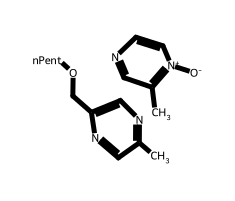 CCCCCOCc1cnc(C)cn1.Cc1cncc[n+]1[O-]